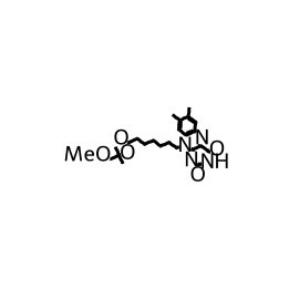 COCC(C)(C)OC(=O)CCCCCCn1c2nc(=O)[nH]c(=O)c-2nc2cc(C)c(C)cc21